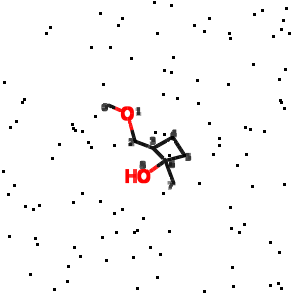 COCC1CCC1(C)O